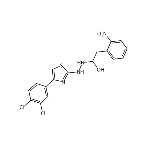 O=[N+]([O-])c1ccccc1CC(O)NNc1nc(-c2ccc(Cl)c(Cl)c2)cs1